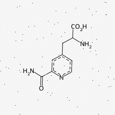 NC(=O)c1cc(CC(N)C(=O)O)ccn1